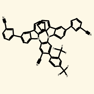 N#Cc1cccc(-c2ccc3c(c2)c2ccccc2n3-c2cc(C#N)c(-c3ccc(C(F)(F)F)cc3C(F)(F)F)cc2-n2c3ccccc3c3cc(-c4cccc(C#N)c4)ccc32)c1